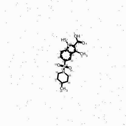 Cc1c(C(=O)O)n(S)c2ccc(S(=O)(=O)N3CCC(C)CC3)cc12